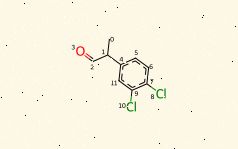 CC(C=O)c1ccc(Cl)c(Cl)c1